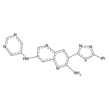 CC(C)c1nnc(-c2cc3ncc(Nc4cncnc4)cc3nc2N)s1